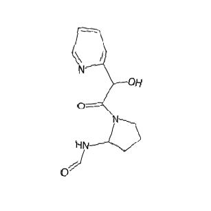 O=CNC1CCCN1C(=O)C(O)c1ccccn1